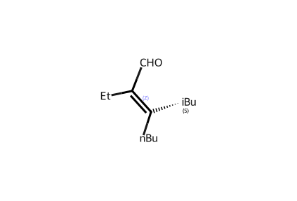 CCCC/C(=C(/C=O)CC)[C@@H](C)CC